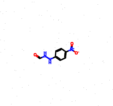 O=CNNc1ccc([N+](=O)[O-])cc1